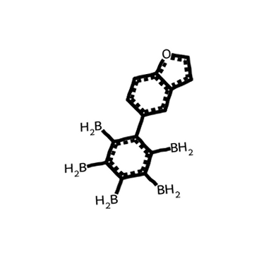 Bc1c(B)c(B)c(-c2ccc3occc3c2)c(B)c1B